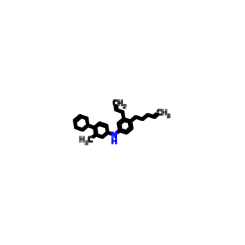 C=CCCCc1ccc(NC2C=CC(C3CC=CCC3)=C(C)C2)cc1CC=C